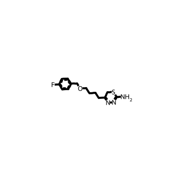 NC1=NN=C(CCCCOCc2ccc(F)cc2)CS1